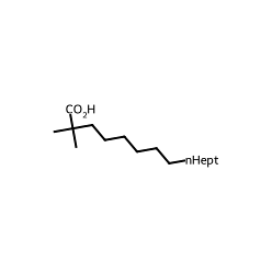 CCCCCCCCCCCCCC(C)(C)C(=O)O